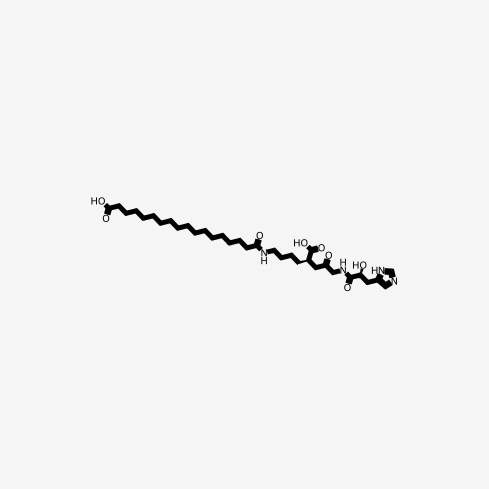 O=C(O)CCCCCCCCCCCCCCCCC(=O)NCCCC[C@H](CC(=O)CNC(=O)[C@@H](O)Cc1cnc[nH]1)C(=O)O